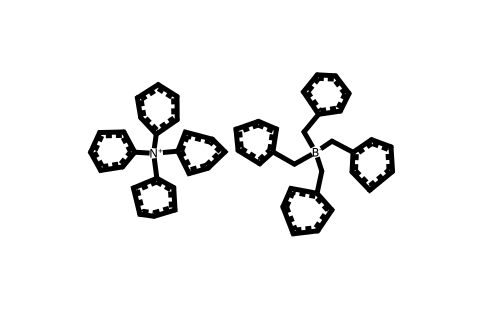 c1ccc(C[B-](Cc2ccccc2)(Cc2ccccc2)Cc2ccccc2)cc1.c1ccc([N+](c2ccccc2)(c2ccccc2)c2ccccc2)cc1